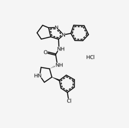 Cl.O=C(Nc1c2c(nn1-c1ccccc1)CCC2)N[C@H]1CNC[C@@H]1c1cccc(Cl)c1